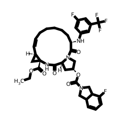 CCOC(=O)[C@@]12C[C@H]1/C=C\CCCCC[C@H](Nc1cc(F)cc(C(F)(F)F)c1)C(=O)N1C[C@H](OC(=O)N3CC4C=CC=C(F)C4C3)C[C@H]1C(=O)N2